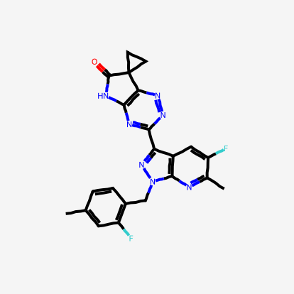 Cc1ccc(Cn2nc(-c3nnc4c(n3)NC(=O)C43CC3)c3cc(F)c(C)nc32)c(F)c1